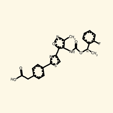 Cc1noc(-c2csc(-c3ccc(CC(=O)O)cc3)n2)c1NC(=O)O[C@H](C)c1ccccc1F